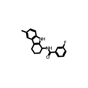 Cc1ccc2[nH]c3c(c2c1)CCCC3NC(=O)c1cccc(F)c1